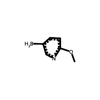 Bc1ccc(OC)nc1